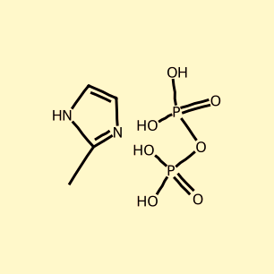 Cc1ncc[nH]1.O=P(O)(O)OP(=O)(O)O